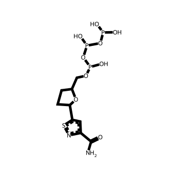 NC(=O)c1cc(C2CCC(COP(O)OP(O)OP(O)O)O2)sn1